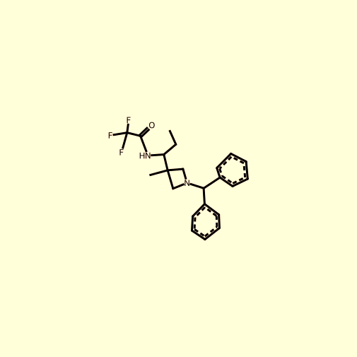 CCC(NC(=O)C(F)(F)F)C1(C)CN(C(c2ccccc2)c2ccccc2)C1